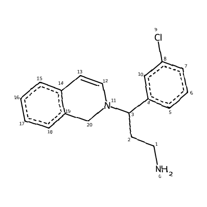 NCCC(c1cccc(Cl)c1)N1C=Cc2ccccc2C1